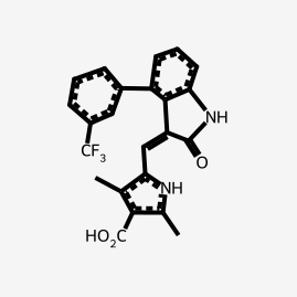 Cc1[nH]c(/C=C2\C(=O)Nc3cccc(-c4cccc(C(F)(F)F)c4)c32)c(C)c1C(=O)O